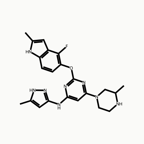 Cc1cc(Nc2cc(N3CCNC(C)C3)nc(Oc3ccc4[nH]c(C)cc4c3F)n2)n[nH]1